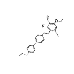 CCCc1ccc(-c2ccc(/C=C/c3c(C)cc(OCC)c(F)c3F)cc2)cc1